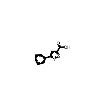 O=C(O)c1cc(-c2ccccc2)ns1